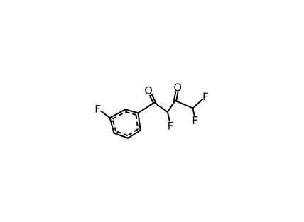 O=C(c1cccc(F)c1)C(F)C(=O)C(F)F